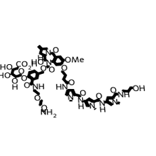 C=C1C[C@H]2C(O)N(C(=O)OCc3ccc(O[C@@H]4O[C@H](C(=O)O)[C@@H](O)[C@H](O)[C@H]4O)c(C(=O)NCCOCCON)c3)c3cc(OCCCC(=O)Nc4cc(C(=O)Nc5cc(C(=O)Nc6cc(C(=O)NCCCO)n(C)c6)n(C)c5)n(C)c4)c(OC)cc3C(=O)N2C1